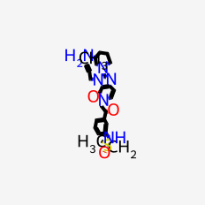 C=S(C)(=O)Nc1cccc(C(=O)Cn2ccc3nc(N4CCCC(N)C4)n(CC#CC)c3c2=O)c1